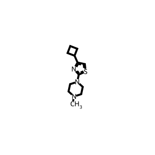 CN1CCN(c2nc(C3CCC3)cs2)CC1